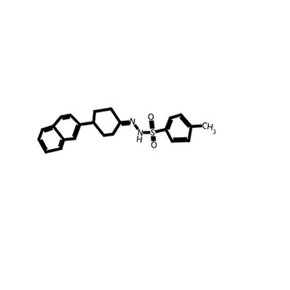 Cc1ccc(S(=O)(=O)NN=C2CCC(c3ccc4ccccc4c3)CC2)cc1